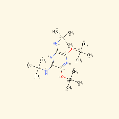 C[Si](C)(C)Nc1nc(N[Si](C)(C)C)c(O[Si](C)(C)C)nc1O[Si](C)(C)C